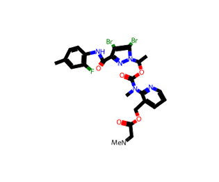 CNCC(=O)OCc1cccnc1N(C)C(=O)OC(C)n1nc(C(=O)Nc2ccc(C)cc2F)c(Br)c1Br